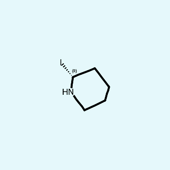 I[C@@H]1CCCCN1